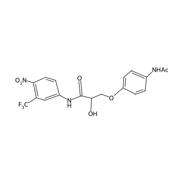 CC(=O)Nc1ccc(OCC(O)C(=O)Nc2ccc([N+](=O)[O-])c(C(F)(F)F)c2)cc1